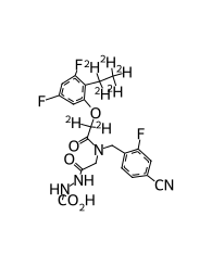 [2H]C([2H])(Oc1cc(F)cc(F)c1C([2H])([2H])C([2H])([2H])[2H])C(=O)N(CC(=O)NNC(=O)O)Cc1ccc(C#N)cc1F